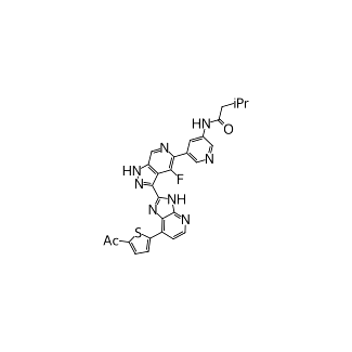 CC(=O)c1ccc(-c2ccnc3[nH]c(-c4n[nH]c5cnc(-c6cncc(NC(=O)CC(C)C)c6)c(F)c45)nc23)s1